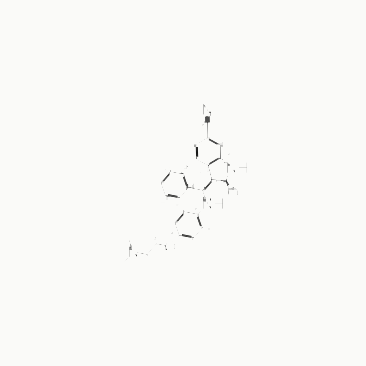 CN(C)CCOc1ccc(N/C(=C2\C(=O)Nc3cc(C#N)ccc32)c2ccccc2)cc1